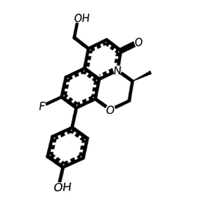 C[C@H]1COc2c(-c3ccc(O)cc3)c(F)cc3c(CO)cc(=O)n1c23